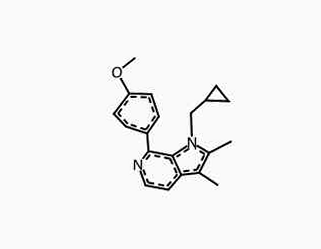 COc1ccc(-c2nccc3c(C)c(C)n(CC4CC4)c23)cc1